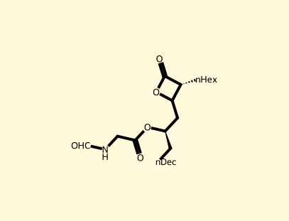 CCCCCCCCCCC[C@H](CC1OC(=O)[C@@H]1CCCCCC)OC(=O)CNC=O